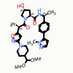 COC(OC)C1CCN(c2cc([C@H](C(=O)N3C[C@H](O)C[C@H]3C(=O)N[C@@H](C)c3ccc(-c4ccnn4C)cc3)C(C)C)on2)CC1